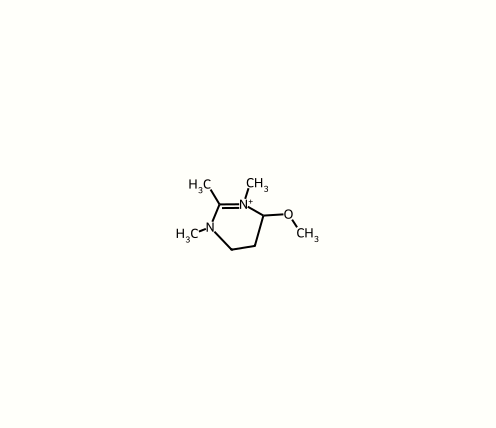 COC1CCN(C)C(C)=[N+]1C